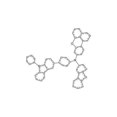 c1ccc(-n2c3ccccc3c3cc(-c4ccc(N(c5ccc6c(c5)Oc5cccc7cccc-6c57)c5ccc6oc7ccccc7c6c5)cc4)ccc32)cc1